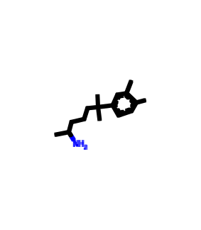 Cc1ccc(C(C)(C)CCCC(C)N)cc1C